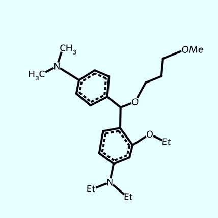 CCOc1cc(N(CC)CC)ccc1C(OCCCOC)c1ccc(N(C)C)cc1